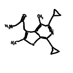 Cc1sc2c(C3CC3)nc(C3CC3)c(C)c2c1C(N)=O